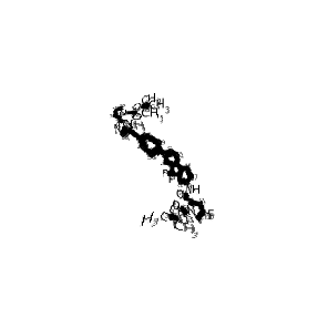 CC(C)(C)OC(=O)N1C[C@@H](F)C[C@H]1C(=O)Nc1ccc2c(c1)C(F)(F)c1cc(-c3ccc(-c4cnc([C@@H]5CCCN5C(=O)OC(C)(C)C)[nH]4)cc3)ccc1-2